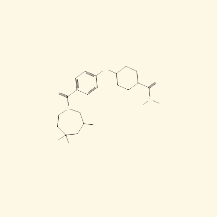 CC1CN(C(=O)c2ccc(OC3CCC(C(=O)N(C)C)CC3)cc2)CCC(C)(C)C1